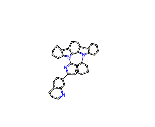 c1ccc(-n2c3ccccc3c3ccc4c5ccccc5n(-c5cccc(-c6ccc7cccnc7c6)n5)c4c32)cc1